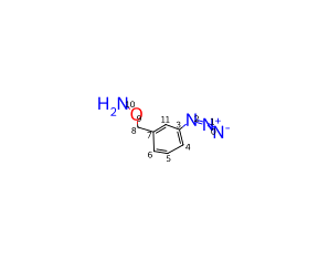 [N-]=[N+]=Nc1cccc(CON)c1